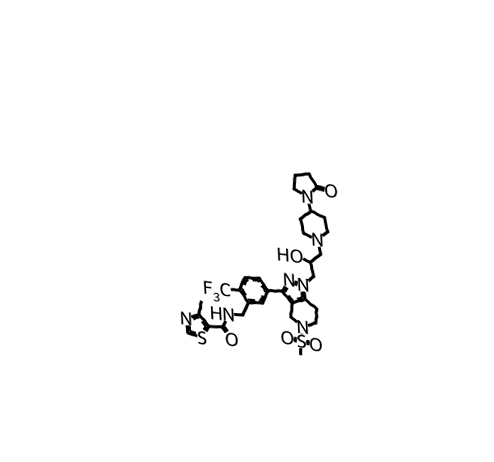 Cc1ncsc1C(=O)NCc1cc(-c2nn(CC(O)CN3CCC(N4CCCC4=O)CC3)c3c2CN(S(C)(=O)=O)CC3)ccc1C(F)(F)F